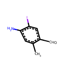 Cc1cc(N)c(I)cc1C=O